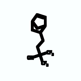 O=NC(CCC1CC2C=CC1C2)(C(F)(F)F)C(F)(F)F